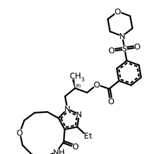 CCc1nn(C[C@@H](C)COC(=O)c2cccc(S(=O)(=O)N3CCOCC3)c2)c2c1C(=O)NCCCOCCC2